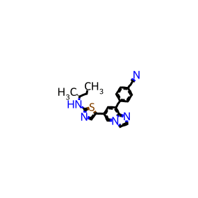 CC[C@@H](C)Nc1ncc(-c2cc(-c3ccc(C#N)cc3)c3nccn3c2)s1